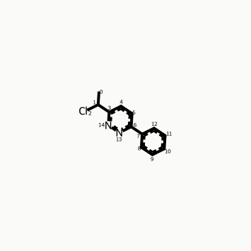 CC(Cl)c1ccc(-c2ccccc2)nn1